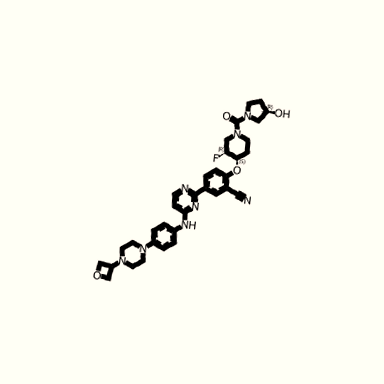 N#Cc1cc(-c2nccc(Nc3ccc(N4CCN(C5COC5)CC4)cc3)n2)ccc1O[C@H]1CCN(C(=O)N2CC[C@@H](O)C2)C[C@H]1F